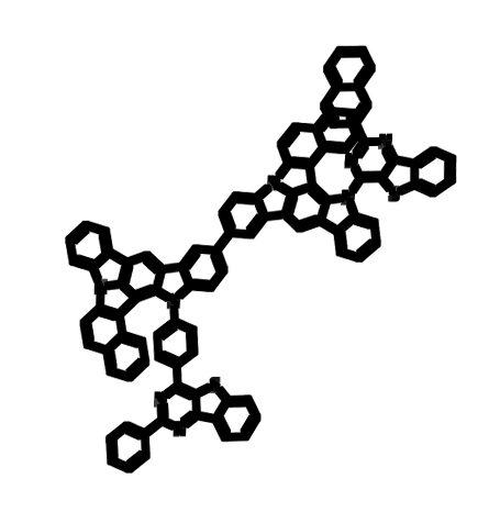 c1ccc(-c2nc(-c3ccc(-n4c5ccc(-c6ccc7c(c6)c6cc8c9ccccc9n(-c9nc(-c%10ccc%11ccccc%11c%10)nc%10c9sc9ccccc9%10)c8c8c9c%10ccccc%10ccc9n7c68)cc5c5cc6c7ccccc7n7c8ccc9ccccc9c8c(c54)c67)cc3)c3sc4ccccc4c3n2)cc1